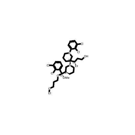 CCOCCCO[C@@](OC)(c1cccc(Cl)c1Cl)[C@@H]1CCCN([C@@]2([C@@H](CC)CCO)CCCN(c3cccc(Cl)c3Cl)C2)C1